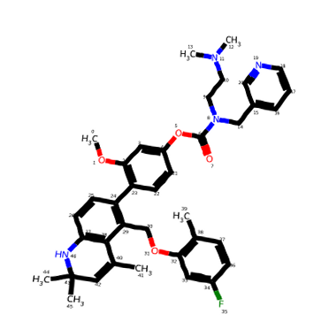 COc1cc(OC(=O)N(CCN(C)C)Cc2cccnc2)ccc1-c1ccc2c(c1COc1cc(F)ccc1C)C(C)=CC(C)(C)N2